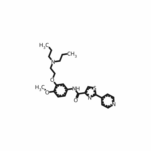 CCCN(CCC)CCOc1cc(NC(=O)c2csc(-c3ccncc3)n2)ccc1OC